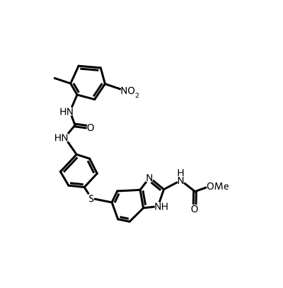 COC(=O)Nc1nc2cc(Sc3ccc(NC(=O)Nc4cc([N+](=O)[O-])ccc4C)cc3)ccc2[nH]1